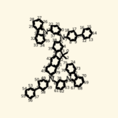 CC1(C)c2cc(N(c3ccc(-c4ccccc4)cc3)c3cccc(-n4c5ccccc5c5ccccc54)c3)ccc2-c2cc3ccc(N(c4ccc(-c5ccccc5)cc4)c4cccc(-n5c6ccccc6c6ccccc65)c4)cc3cc21